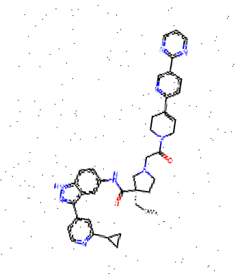 COC[C@@]1(C(=O)Nc2ccc3[nH]nc(-c4ccnc(C5CC5)c4)c3c2)CCN(CC(=O)N2CC=C(c3ccc(-c4ncccn4)cn3)CC2)C1